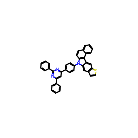 c1ccc(-c2cc(-c3ccc(-n4c5cc6ccsc6cc5c5c6ccccc6ccc54)cc3)nc(-c3ccccc3)n2)cc1